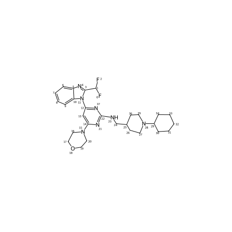 FC(F)c1nc2ccccc2n1-c1cc(N2CCOCC2)nc(NCC2CCN(C3CCCCC3)CC2)n1